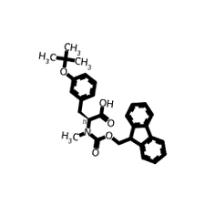 CN(C(=O)OCC1c2ccccc2-c2ccccc21)[C@@H](Cc1cccc(OC(C)(C)C)c1)C(=O)O